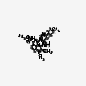 CNC(=O)c1ncnc2c(C(C)[C@H](C)CNc3cc(-c4ccc(C)cc4)ncn3)cccc12